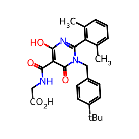 Cc1cccc(C)c1-c1nc(O)c(C(=O)NCC(=O)O)c(=O)n1Cc1ccc(C(C)(C)C)cc1